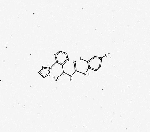 CC(NC(=O)Nc1ccc(C(F)(F)F)cc1I)c1nccnc1-n1nccn1